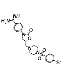 CCc1ccc(S(=O)(=O)N2CCN(CC3CN(c4ccc(C(=N)N)cc4)C(=O)O3)CC2)cc1